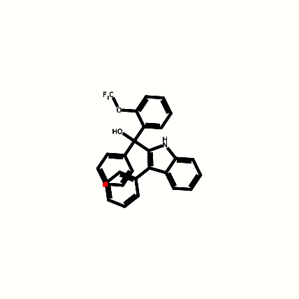 OC(c1ccccc1)(c1ccccc1OC(F)(F)F)c1[nH]c2ccccc2c1-c1ccccc1